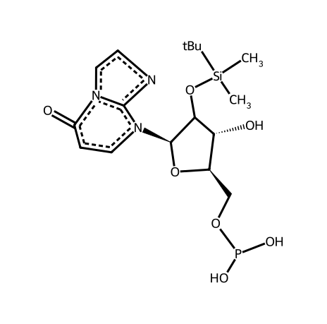 CC(C)(C)[Si](C)(C)OC1[C@H](n2ccc(=O)n3ccnc23)O[C@H](COP(O)O)[C@H]1O